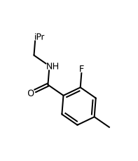 Cc1ccc(C(=O)NCC(C)C)c(F)c1